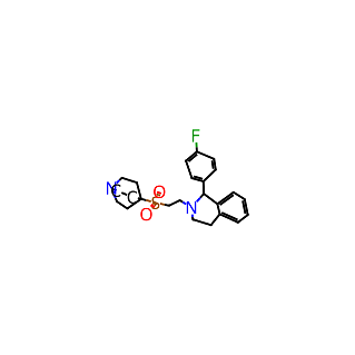 O=S(=O)(CCN1CCc2ccccc2C1c1ccc(F)cc1)C12CCN(CC1)CC2